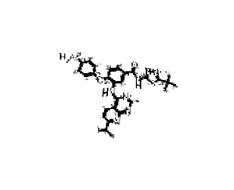 CC(C)c1ccc2c(Nc3cc(C(=O)Nc4nnc(C(C)(C)C)s4)ccc3Oc3ccc([AsH2])cc3)ncnc2n1